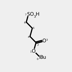 CCC(C)OC(=O)CCCS(=O)(=O)O